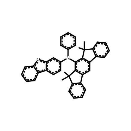 CC1(C)c2ccccc2-c2cc3c(c(N(c4ccccc4)c4ccc5c(c4)oc4ccccc45)c21)C(C)(C)c1ccccc1-3